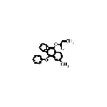 C=CC(=O)Oc1c2c(c(Oc3ccccc3)c3cc(C)ccc13)C1C=CC2C1